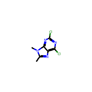 Cc1nc2c(Cl)nc(Cl)nc2n1C